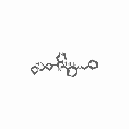 N[N+]12C=CN=CC1=C(C1CC(O)(CN3CCC3)C1)N=C2c1cccc(OCc2ccccc2)c1